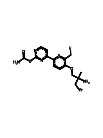 CC(C)CC(C)(N)COc1ccc(-c2ccnc(OC(N)=O)n2)nc1CF